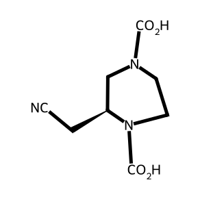 N#CC[C@H]1CN(C(=O)O)CCN1C(=O)O